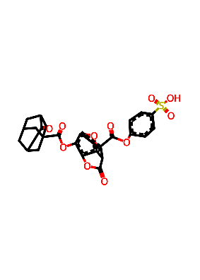 O=C1Oc2c(OC(=O)C34CC5CC(C3)C(=O)C(C5)C4)c3oc2c1c3C(=O)Oc1ccc(S(=O)(=O)O)cc1